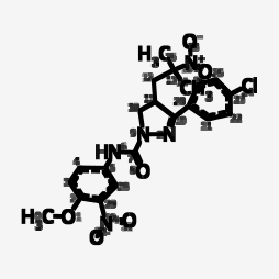 COc1ccc(NC(=O)N2CC(CC(C)(C)[N+](=O)[O-])C(c3ccc(Cl)cc3)=N2)cc1[N+](=O)[O-]